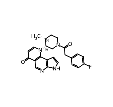 C[C@@H]1CCN(C(=O)Cc2ccc(F)cc2)C[C@@H]1n1ccc(=O)c2cnc3[nH]ccc3c21